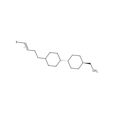 CC[C@H]1CC[C@H](C2CCC(CC/C=C/F)CC2)CC1